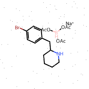 Brc1ccc(CC2CCCCN2)cc1.CC(=O)O[BH-](OC(C)=O)OC(C)=O.[Na+]